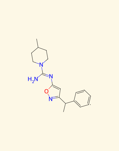 CC1CCN(C(N)=Nc2cc(C(C)c3c[c]ccc3)no2)CC1